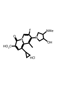 CNC1CN(c2c(F)cn3c(=O)c(C(=O)O)cc(C4CC4)c3c2C)CC1O.Cl